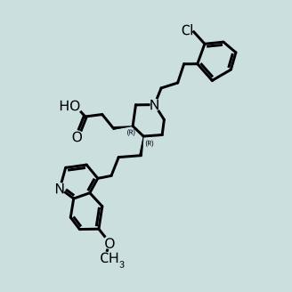 COc1ccc2nccc(CCC[C@@H]3CCN(CCCc4ccccc4Cl)C[C@@H]3CCC(=O)O)c2c1